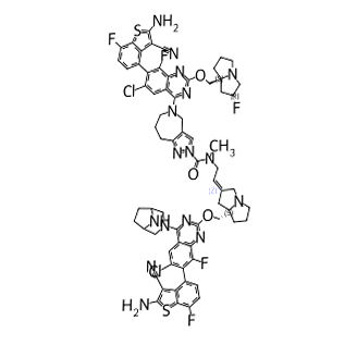 CN(C/C=C1\CN2CCC[C@@]2(COc2nc(N3CC4CCC(C3)N4)c3cc(Cl)c(-c4ccc(F)c5sc(N)c(C#N)c45)c(F)c3n2)C1)C(=O)n1cc2c(n1)CCCN(c1nc(OC[C@@]34CCCN3C[C@H](F)C4)nc3c(F)c(-c4ccc(F)c5sc(N)c(C#N)c45)c(Cl)cc13)C2